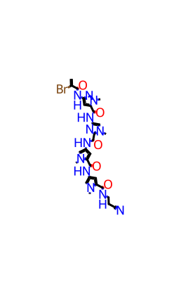 C=C(Br)C(=O)Nc1cc(C(=O)Nc2cn(C)c(C(=O)Nc3cc(C(=O)Nc4cc(C(=O)NCCC#N)n(C)c4)n(C)c3)n2)n(C)n1